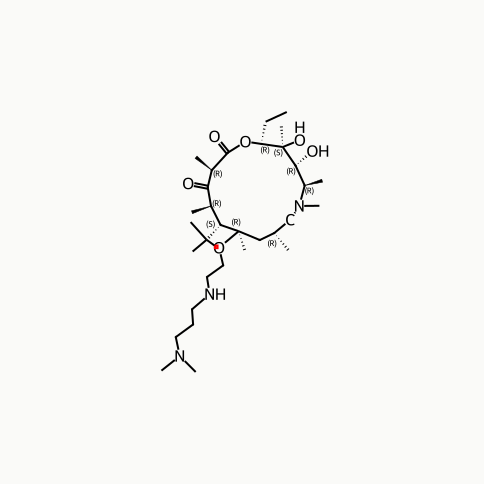 CC[C@H]1OC(=O)[C@H](C)C(=O)[C@H](C)[C@@H](C(C)(C)C)[C@](C)(OCCNCCCN(C)C)C[C@@H](C)CN(C)[C@H](C)[C@@H](O)[C@]1(C)O